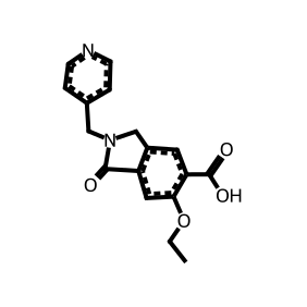 CCOc1cc2c(cc1C(=O)O)CN(Cc1ccncc1)C2=O